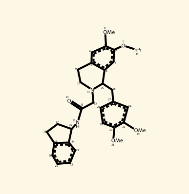 CCCOc1cc2c(cc1OC)CCN(CC(=O)NC1CCc3ccccc31)C2Cc1ccc(OC)c(OC)c1